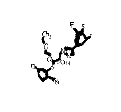 CCOCCOC(Sc1cc(Cl)ccc1C#N)[C@@H](O)Cn1cc(-c2cc(F)c(F)c(F)c2)cn1